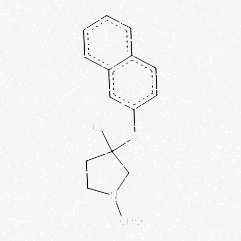 O=CN1CCC(Cl)(Oc2ccc3ccccc3c2)C1